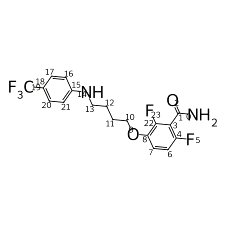 NC(=O)c1c(F)ccc(OCCCCNc2ccc(C(F)(F)F)cc2)c1F